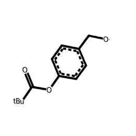 CC(C)(C)C(=O)Oc1ccc(C[O])cc1